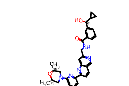 C[C@@H]1CN(c2cccc(-c3ccc4cnc(CNC(=O)c5cccc([C@@H](O)C6CC6)c5)cc4n3)n2)C[C@H](C)O1